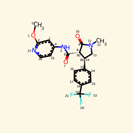 COc1cc(NC(=O)[C@@H]2C(=O)N(C)C[C@H]2c2ccc(C(F)(F)F)cc2)ccn1